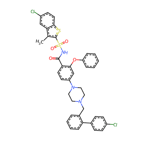 Cc1c(S(=O)(=O)NC(=O)c2ccc(N3CCN(Cc4ccccc4-c4ccc(Cl)cc4)CC3)cc2Oc2ccccc2)sc2ccc(Cl)cc12